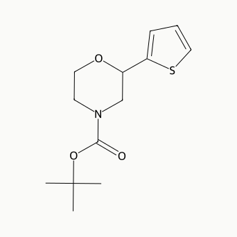 CC(C)(C)OC(=O)N1CCOC(c2cccs2)C1